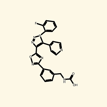 O=C(O)NCc1cccc(-c2noc(-c3nnn(-c4ccccc4F)c3-c3ccncc3)n2)c1